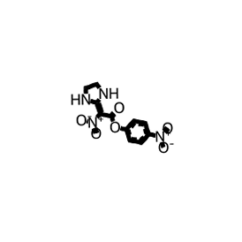 O=C(Oc1ccc([N+](=O)[O-])cc1)C(=C1NCCN1)[N+](=O)[O-]